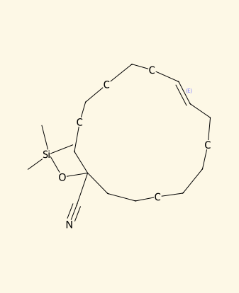 C[Si](C)(C)OC1(C#N)CCCCCC/C=C/CCCCCCC1